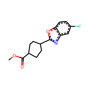 COC(=O)C1CCC(c2nc3cc(F)ccc3o2)CC1